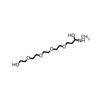 CNC(O)CCOCCOCCOCCOCCO